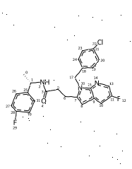 C[C@H](NC(=O)CCc1cc2cc(F)cnc2n1Cc1ccc(Cl)cc1)c1ccc(F)cc1